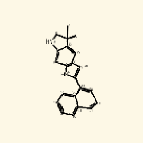 CC1(C)CNc2cc3[nH]c(-c4cccc5ccccc45)nc3cc21